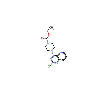 CCOC(=O)N1CCN(c2nc(Cl)nc3cccnc23)CC1